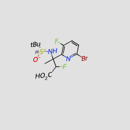 CC(N[S@+]([O-])C(C)(C)C)(c1nc(Br)ccc1F)C(F)C(=O)O